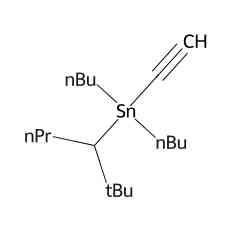 C#[C][Sn]([CH2]CCC)([CH2]CCC)[CH](CCC)C(C)(C)C